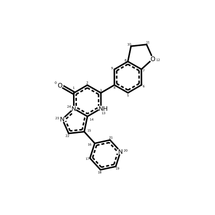 O=c1cc(-c2ccc3c(c2)CCO3)[nH]c2c(-c3cccnc3)cnn12